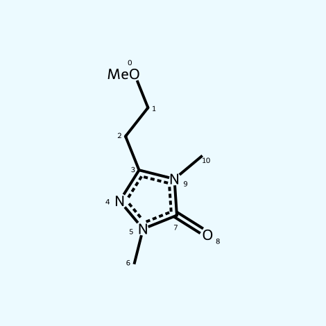 COCCc1nn(C)c(=O)n1C